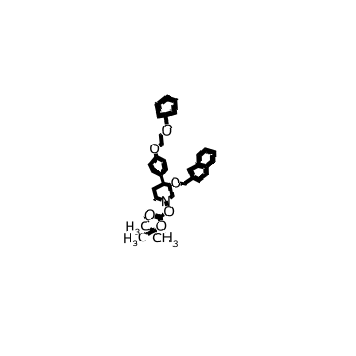 CC(C)(C)OC(=O)ON1CCC(c2ccc(OCCOc3ccccc3)cc2)C(OCc2ccc3ccccc3c2)C1